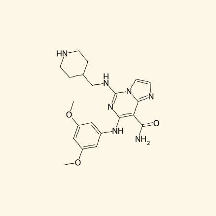 COc1cc(Nc2nc(NCC3CCNCC3)n3ccnc3c2C(N)=O)cc(OC)c1